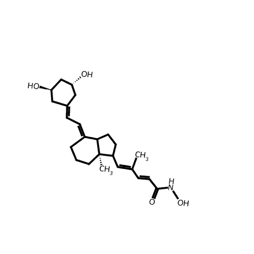 CC(/C=C/C(=O)NO)=C\C1CCC2/C(=C/C=C3C[C@@H](O)C[C@H](O)C3)CCC[C@]12C